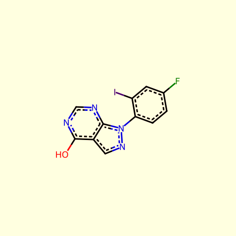 Oc1ncnc2c1cnn2-c1ccc(F)cc1I